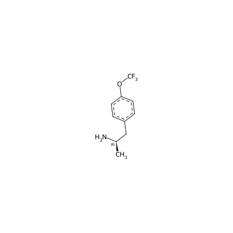 C[C@@H](N)Cc1ccc(OC(F)(F)F)cc1